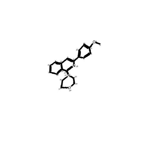 COc1ccc(-c2cc3ccccc3c(N3CCOCC3)n2)cc1